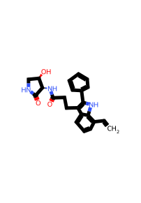 C=Cc1cccc2c(CCC(=O)N[C@@H]3C(=O)NC[C@H]3O)c(-c3ccccc3)[nH]c12